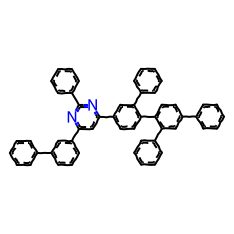 c1ccc(-c2cccc(-c3cc(-c4ccc(-c5ccc(-c6ccccc6)cc5-c5ccccc5)c(-c5ccccc5)c4)nc(-c4ccccc4)n3)c2)cc1